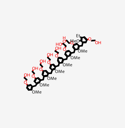 CCc1cc(OCCO)cc(Cc2cc(OCCO)cc(Cc3cc(OCCO)cc(Cc4cc(OCCO)cc(Cc5cc(OCCO)cc(Cc6cc(OCCO)cc(Cc7cc(OCCO)cc(Cc8cc(OCCO)ccc8OC)c7OC)c6OC)c5OC)c4OC)c3OC)c2OC)c1OC